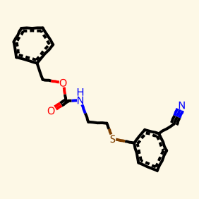 N#Cc1cccc(SCCNC(=O)OCc2ccccc2)c1